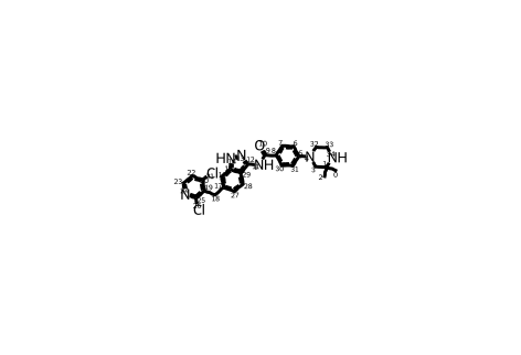 CC1(C)CN(c2ccc(C(=O)Nc3n[nH]c4cc(Cc5c(Cl)ccnc5Cl)ccc34)cc2)CCN1